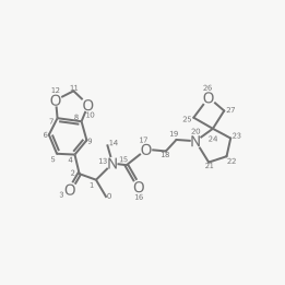 CC(C(=O)c1ccc2c(c1)OCO2)N(C)C(=O)OCCN1CCCC12COC2